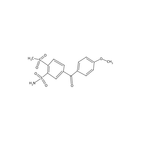 COc1ccc(C(=O)c2ccc(S(C)(=O)=O)c(S(N)(=O)=O)c2)cc1